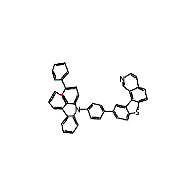 c1ccc(-c2ccc(N(c3ccc(-c4ccc5sc6ccc7ccncc7c6c5c4)cc3)c3ccccc3-c3ccccc3)cc2)cc1